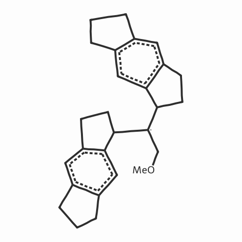 COC[C](C1CCc2cc3c(cc21)CCC3)C1CCc2cc3c(cc21)CCC3